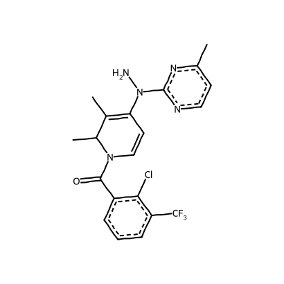 CC1=C(N(N)c2nccc(C)n2)C=CN(C(=O)c2cccc(C(F)(F)F)c2Cl)C1C